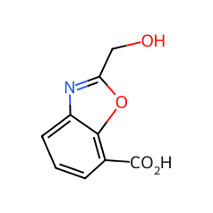 O=C(O)c1cccc2nc(CO)oc12